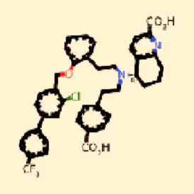 O=C(O)c1ccc(CCN(CCc2ccccc2OCc2ccc(-c3ccc(C(F)(F)F)cc3)cc2Cl)[C@H]2CCCc3nc(C(=O)O)ccc32)cc1